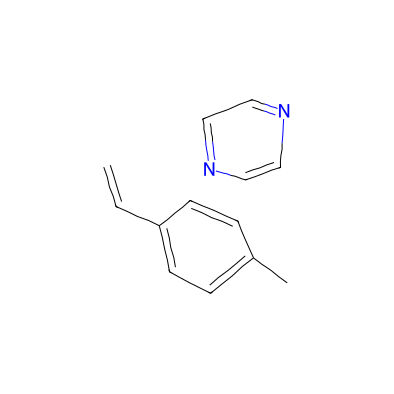 C=Cc1ccc(C)cc1.c1cnccn1